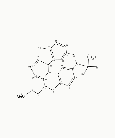 COCCN(Cc1ccc(SC(C)(C)C(=O)O)cc1)c1cc(-c2cc(C)ccc2F)ncn1